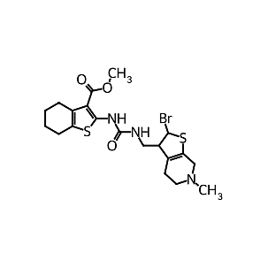 COC(=O)c1c(NC(=O)NCC2C3=C(CN(C)CC3)SC2Br)sc2c1CCCC2